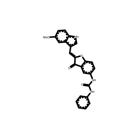 COc1ccc2[nH]cc(/C=C3\Oc4ccc(NC(=O)Nc5ccccc5)cc4C3=O)c2c1